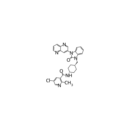 Cc1ncc(Cl)cc1C(=O)N[C@H]1CC[C@H](Cn2c(=O)n(-c3cnc4cccnc4c3)c3ccccc32)CC1